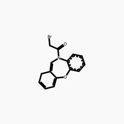 O=C(CBr)N1C=C2CC=CC=C2Oc2ccccc21